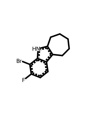 Fc1ccc2c3c([nH]c2c1Br)CCCCC3